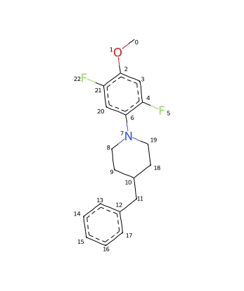 COc1cc(F)c(N2CCC(Cc3ccccc3)CC2)cc1F